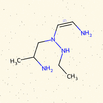 CCNN(/C=C\N)CC(C)N